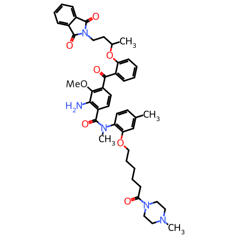 COc1c(C(=O)c2ccccc2OC(C)CCN2C(=O)c3ccccc3C2=O)ccc(C(=O)N(C)c2ccc(C)cc2OCCCCCC(=O)N2CCN(C)CC2)c1N